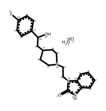 Cl.O.O=c1[nH]c2ccccc2n1CCN1CCC(CC(O)c2ccc(F)cc2)CC1